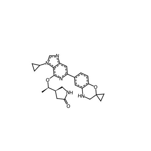 C[C@@H](Oc1nc(-c2ccc3c(c2)NCC2(CC2)O3)cc2ncn(C3CC3)c12)[C@H]1CNC(=O)C1